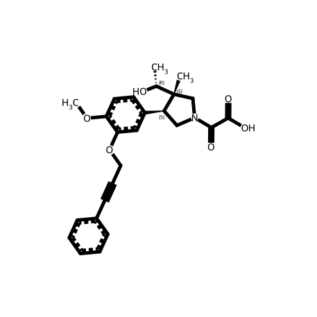 COc1ccc([C@@H]2CN(C(=O)C(=O)O)C[C@@]2(C)[C@@H](C)O)cc1OCC#Cc1ccccc1